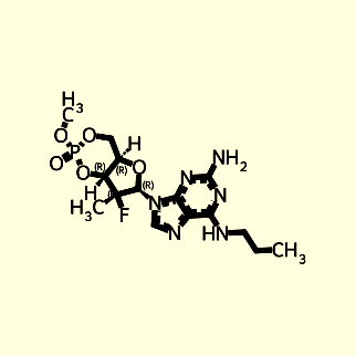 CCCNc1nc(N)nc2c1ncn2[C@@H]1O[C@@H]2COP(=O)(OC)O[C@H]2[C@@]1(C)F